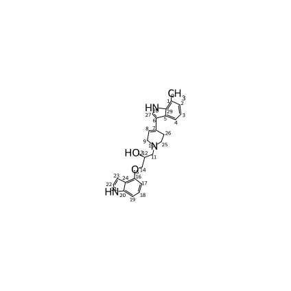 Cc1cccc2c(C3=CCN(C[C@H](O)COc4cccc5[nH]ccc45)CC3)c[nH]c12